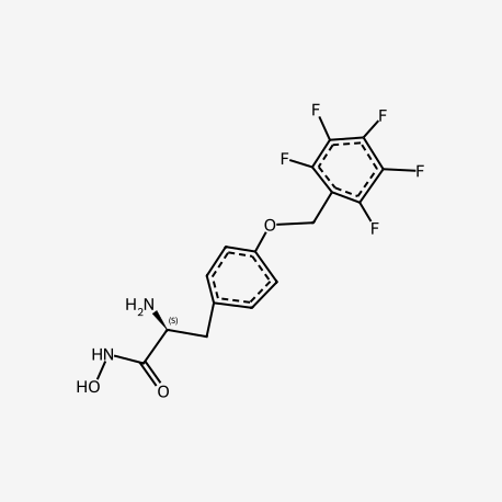 N[C@@H](Cc1ccc(OCc2c(F)c(F)c(F)c(F)c2F)cc1)C(=O)NO